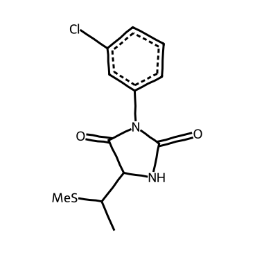 CSC(C)C1NC(=O)N(c2cccc(Cl)c2)C1=O